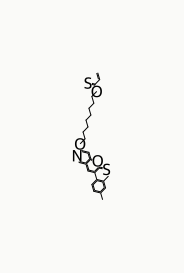 C=CC(=S)OCCCCCCCCOc1cc2oc(=S)c(-c3ccc(C)cc3C)cc2cn1